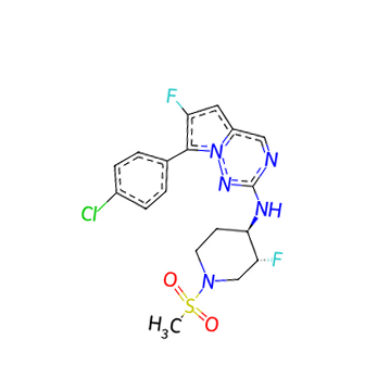 CS(=O)(=O)N1CC[C@@H](Nc2ncc3cc(F)c(-c4ccc(Cl)cc4)n3n2)[C@H](F)C1